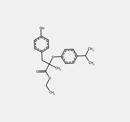 CCOC(=O)C(C)(Cc1ccc(O)cc1)Oc1ccc(C(C)C)cc1